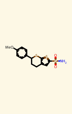 COc1ccc(C2CCc3cc(S(N)(=O)=O)sc3S2)cc1